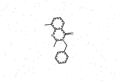 Cc1cccc2c(=O)n(Cc3ccccc3)c(C)nc12